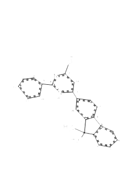 CC1(C)c2ccccc2-c2ccc(-c3cc(Cl)nc(-c4ccccc4)n3)cc21